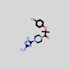 CC(C)(Oc1ccc(Cl)cc1)C(=O)N1CCN(c2nc(N)n[nH]2)CC1